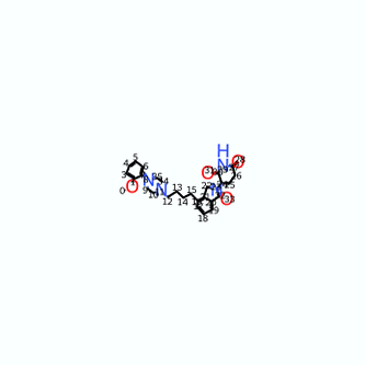 COc1ccccc1N1CCN(CCCCc2cccc3c2CN(C2CCC(=O)NC2=O)C3=O)CC1